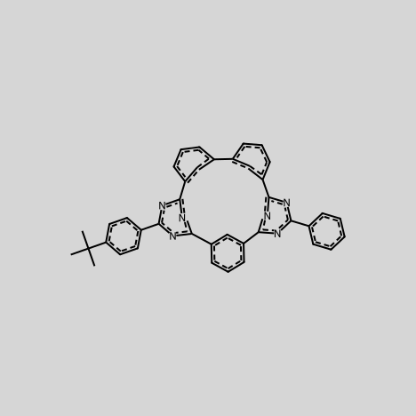 CC(C)(C)c1ccc(-c2nc3nc(n2)-c2cccc(c2)-c2nc(-c4ccccc4)nc(n2)-c2cccc(c2)-c2cccc-3c2)cc1